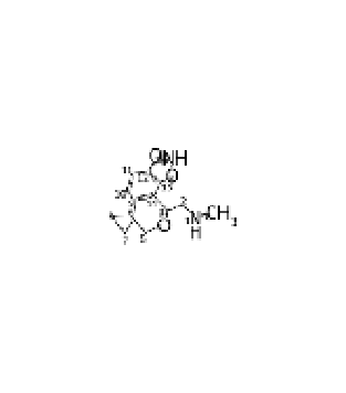 CNCC1OCC2(CC2)c2ccc3c(c21)ONO3